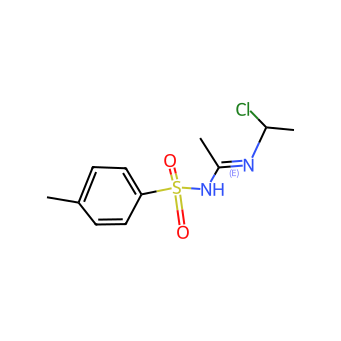 C/C(=N\C(C)Cl)NS(=O)(=O)c1ccc(C)cc1